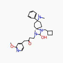 COc1cc(CC(=O)CCN2C[C@]3(CC[C@](c4ccccc4)(N(C)C)CC3)N(CC3CCC3)C2O)ccn1